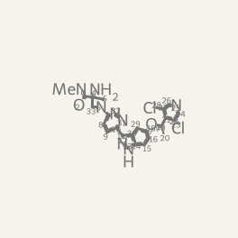 CNC(=O)C1(N)CN(c2ccc(-c3n[nH]c4ccc(O[C@H](C)c5c(Cl)cncc5Cl)cc34)nn2)C1